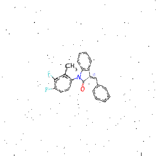 Cc1c(N2C(=O)/C(=C\c3ccccc3)c3ccccc32)ccc(F)c1F